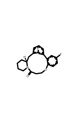 O=C1CCOc2ccc(F)cc2-c2cccc(c2F)C[C@H]2CCCCN12